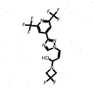 OC(/C=C\n1cnc(-c2cc(C(F)(F)F)nc(C(F)(F)F)c2)n1)N1CC(F)(F)C1